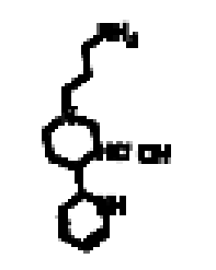 Cl.Cl.NCCCN1CCC(C2C=CC=CN2)CC1